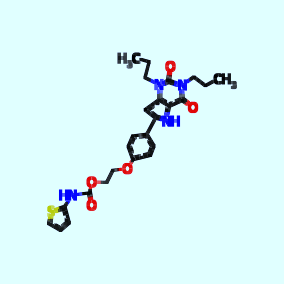 CCCn1c(=O)c2[nH]c(-c3ccc(OCCOC(=O)Nc4cccs4)cc3)cc2n(CCC)c1=O